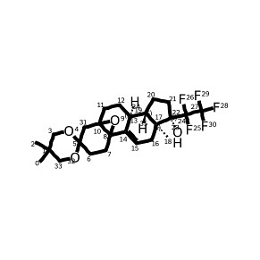 CC1(C)COC2(CCC34OC3(CC[C@@H]3C4=CC[C@@]4(C)[C@H]3CC[C@@]4(O)C(F)(F)C(F)(F)F)C2)OC1